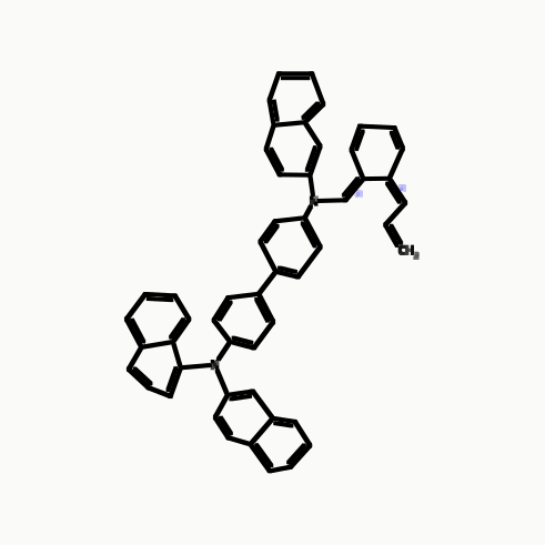 C=C/C=c1/cccc/c1=C\N(c1ccc(-c2ccc(N(c3ccc4ccccc4c3)c3cccc4ccccc34)cc2)cc1)c1ccc2ccccc2c1